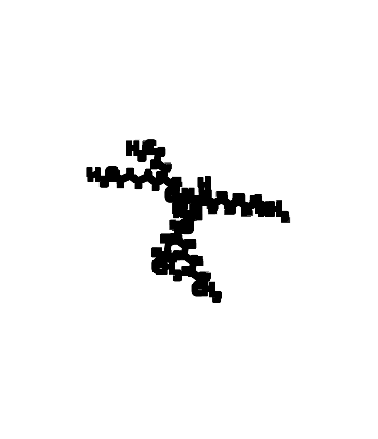 CCCCCCC(CCCC)COc1nc(NCCCCCCN)nc(OCC(CCCC)CCCCCC)n1